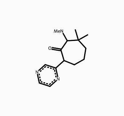 CNC1C(=O)C(c2cnccn2)CCCC1(C)C